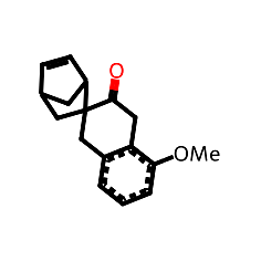 COc1cccc2c1CC(=O)C1(C2)CC2C=CC1C2